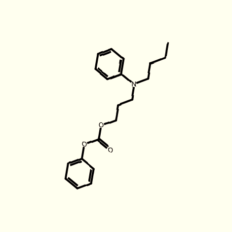 CCCCN(CCCOC(=O)Oc1ccccc1)c1ccccc1